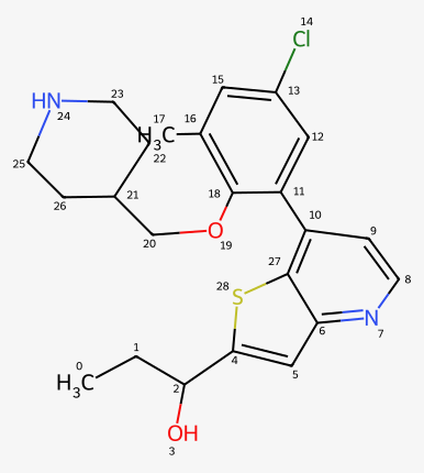 CCC(O)c1cc2nccc(-c3cc(Cl)cc(C)c3OCC3CCNCC3)c2s1